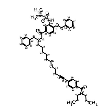 CCCN(CCC)C(=O)c1ccc(C#CCCOCCCCCCN(CC(=O)c2ccc(OCc3ccccc3)c(NS(=O)(=O)N(C)C)c2)Cc2ccccc2)cc1